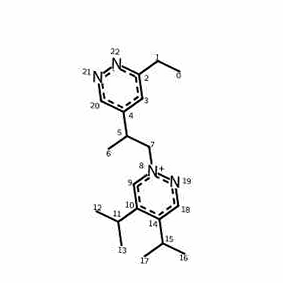 CCc1cc(C(C)C[n+]2cc(C(C)C)c(C(C)C)cn2)cnn1